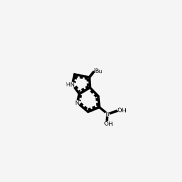 CCC(C)c1c[nH]c2ncc(B(O)O)cc12